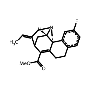 C/C=C1/CN2CC[C@]34C(=C(C(=O)OC)C1C[C@H]23)CCc1ccc(F)cc14